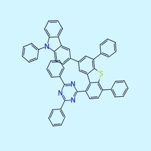 c1ccc(-c2nc(-c3ccccc3)nc(-c3ccc(-c4ccccc4)c4sc5c(-c6ccccc6)cc(-c6ccc7c(c6)c6ccccc6n7-c6ccccc6)cc5c34)n2)cc1